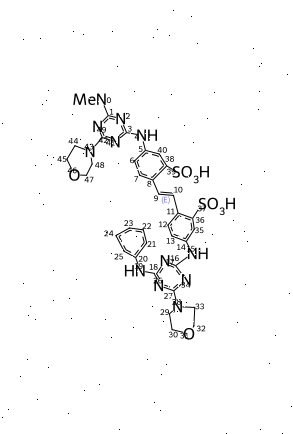 CNc1nc(Nc2ccc(/C=C/c3ccc(Nc4nc(Nc5ccccc5)nc(N5CCOCC5)n4)cc3S(=O)(=O)O)c(S(=O)(=O)O)c2)nc(N2CCOCC2)n1